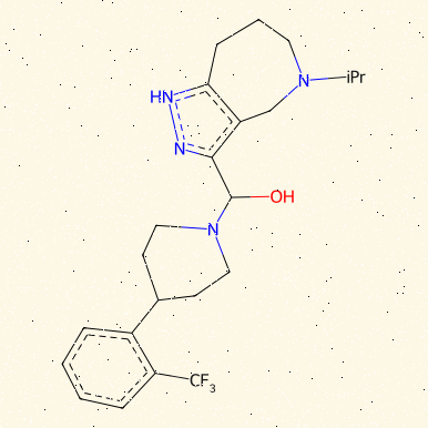 CC(C)N1CCCc2[nH]nc(C(O)N3CCC(c4ccccc4C(F)(F)F)CC3)c2C1